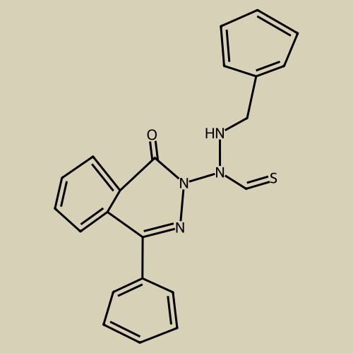 O=c1c2ccccc2c(-c2ccccc2)nn1N(C=S)NCc1ccccc1